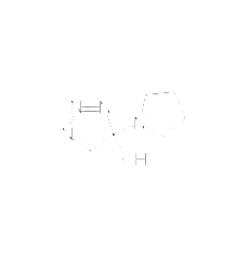 CC1(N2CCCC2)C=NN=N1